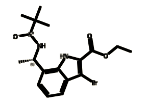 CCOC(=O)c1[nH]c2c([C@H](C)N[S+]([O-])C(C)(C)C)cccc2c1Br